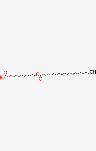 CCCCCCC=CCCCCCCCCCCCC(=O)OCCCCCCCCCCCC(=O)O